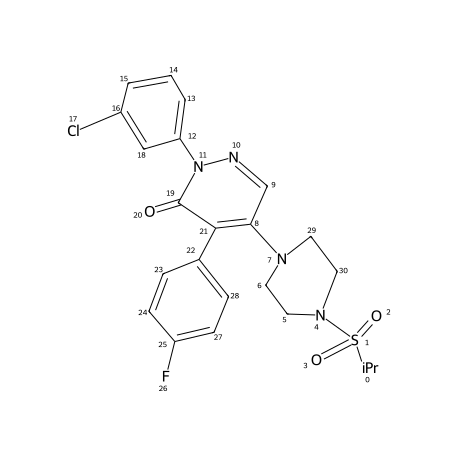 CC(C)S(=O)(=O)N1CCN(c2cnn(-c3cccc(Cl)c3)c(=O)c2-c2ccc(F)cc2)CC1